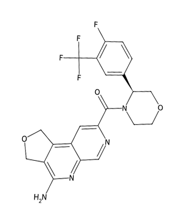 Nc1nc2cnc(C(=O)N3CCOC[C@@H]3c3ccc(F)c(C(F)(F)F)c3)cc2c2c1COC2